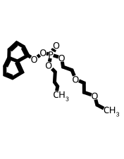 CCCCOP(=O)(OCCOCCOCC)OOc1cccc2ccccc12